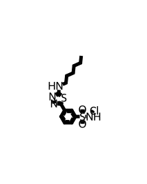 CCCCCCNc1nnc(-c2cccc(S(=O)(=O)NCl)c2)s1